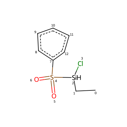 CC[SiH](Cl)S(=O)(=O)c1ccccc1